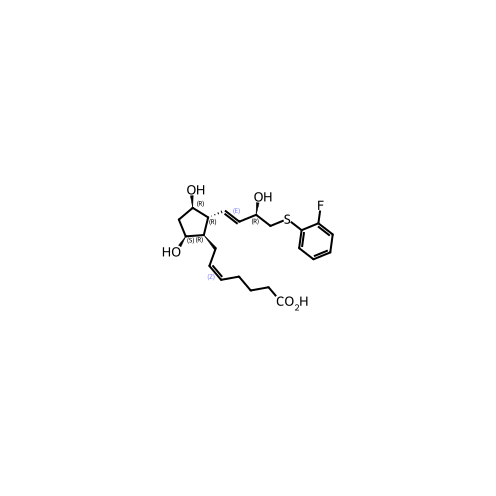 O=C(O)CCC/C=C\C[C@@H]1[C@@H](/C=C/[C@@H](O)CSc2ccccc2F)[C@H](O)C[C@@H]1O